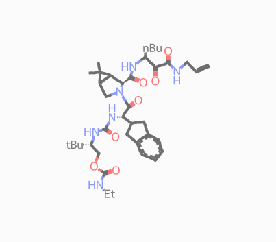 C=CCNC(=O)C(=O)C(CCCC)NC(=O)[C@@H]1C2C(CN1C(=O)[C@@H](NC(=O)N[C@H](COC(=O)NCC)C(C)(C)C)C1Cc3ccccc3C1)C2(C)C